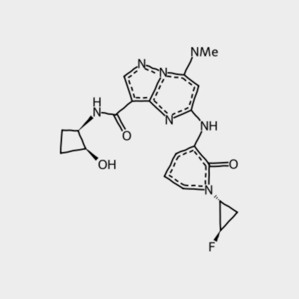 CNc1cc(Nc2cccn([C@@H]3C[C@H]3F)c2=O)nc2c(C(=O)N[C@@H]3CC[C@@H]3O)cnn12